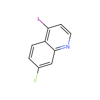 Fc1ccc2c(I)ccnc2c1